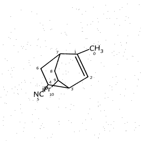 CC1=CC2C(C#N)CC1CC2C(C)C